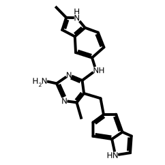 Cc1cc2cc(Nc3nc(N)nc(C)c3Cc3ccc4[nH]ccc4c3)ccc2[nH]1